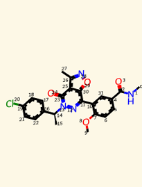 CNC(=O)c1ccc(OC)c(-c2nn([C@@H](C)c3ccc(Cl)cc3)c(=O)c3c(C)noc23)c1